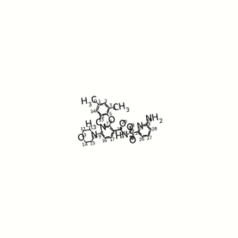 Cc1cc(C)c(Oc2nc(N3CCOCC3)ccc2C(=O)NS(=O)(=O)c2cccc(N)n2)c(C)c1